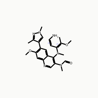 CO/C(C)=C(/C=C\N)N(C)c1c(N(C)C=O)cnc2cc(OC)c(-c3cn(C)nc3C)cc12